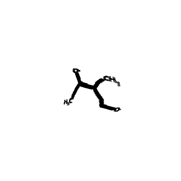 CC([O])C(C)C[O]